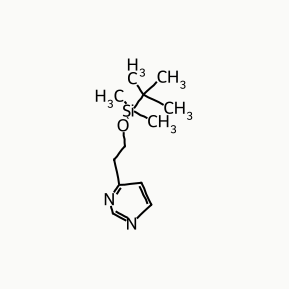 CC(C)(C)[Si](C)(C)OCCc1ccncn1